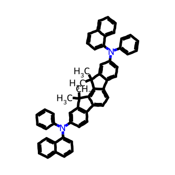 CC1(C)c2cc(N(c3ccccc3)c3cccc4ccccc34)ccc2-c2ccc3c(c21)C(C)(C)c1cc(N(c2ccccc2)c2cccc4ccccc24)ccc1-3